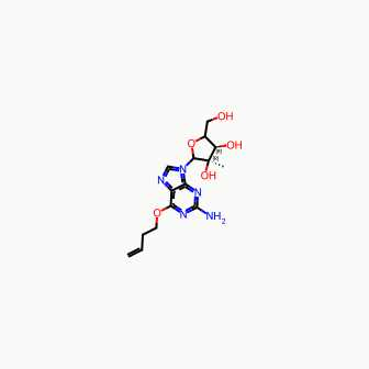 C=CCCOc1nc(N)nc2c1ncn2C1OC(CO)[C@@H](O)[C@@]1(C)O